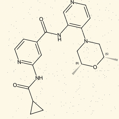 C[C@@H]1CN(c2ccncc2NC(=O)c2ccnc(NC(=O)C3CC3)c2)C[C@H](C)O1